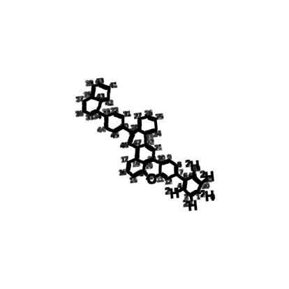 [2H]c1c([2H])c([2H])c(-c2ccc3c(c2)Oc2cccc4c2c-3cc2c3ccccc3c(-c3ccc(-c5cccc6ccccc56)cc3)cc42)c([2H])c1[2H]